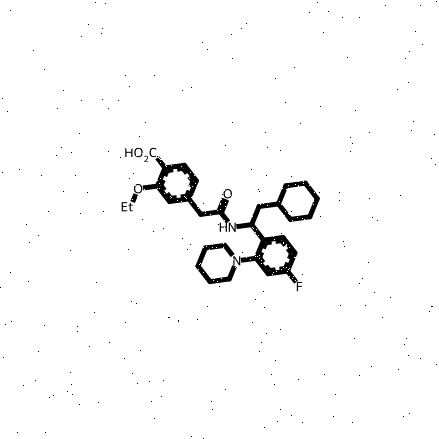 CCOc1cc(CC(=O)NC(CC2CCCCC2)c2ccc(F)cc2N2CCCCC2)ccc1C(=O)O